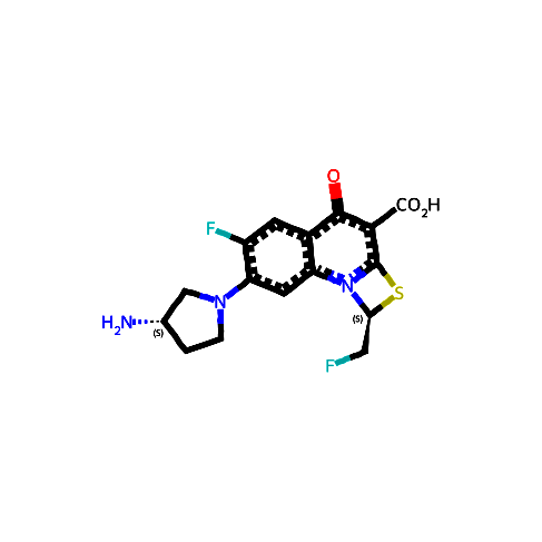 N[C@H]1CCN(c2cc3c(cc2F)c(=O)c(C(=O)O)c2n3[C@H](CF)S2)C1